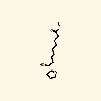 COC(=O)CCCCCCCC(O)[C@H]1CCCO1